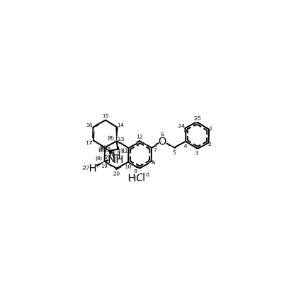 Cl.c1ccc(COc2ccc3c(c2)[C@@]24CCCC[C@H]2[C@@H](C3)NCC4)cc1